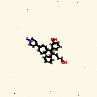 CN1CCC(C2=CC=C(/C(=C(/CCCO)c3ccccc3)c3cccc(O)c3)C=CC2)CC1